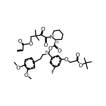 C=CC(=O)OCC(C)(C)C(=O)C(=O)N1CCCC[C@H]1C(=O)O[C@H](CCc1ccc(OC)c(OC)c1)c1cc(F)cc(OCC(=O)OC(C)(C)C)c1